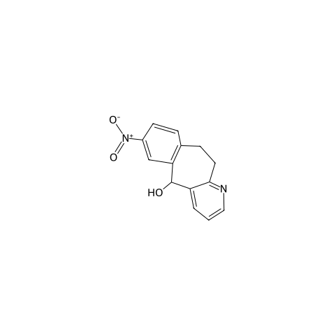 O=[N+]([O-])c1ccc2c(c1)C(O)c1cccnc1CC2